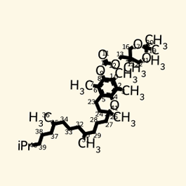 Cc1c(C)c2c(c(C)c1OC(=O)OCC1(C)COC(C)(C)OC1)CCC(C)(CCCC(C)CCCC(C)CCCC(C)C)O2